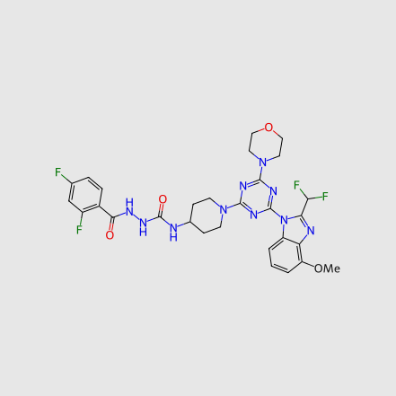 COc1cccc2c1nc(C(F)F)n2-c1nc(N2CCOCC2)nc(N2CCC(NC(=O)NNC(=O)c3ccc(F)cc3F)CC2)n1